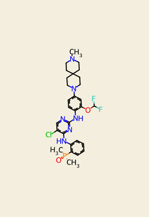 CN1CCC2(CC1)CCN(c1ccc(Nc3ncc(Cl)c(Nc4ccccc4P(C)(C)=O)n3)c(OC(F)F)c1)CC2